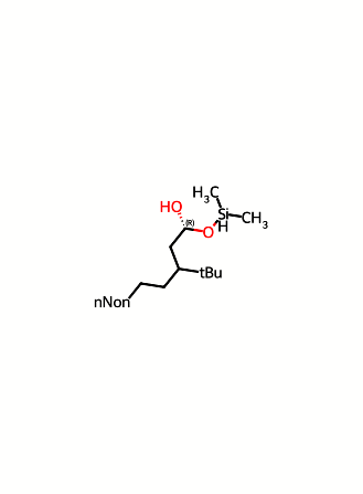 CCCCCCCCCCCC(C[C@H](O)O[SiH](C)C)C(C)(C)C